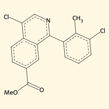 COC(=O)c1ccc2c(Cl)cnc(-c3cccc(Cl)c3C)c2c1